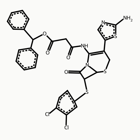 Nc1ncc(C2=C(NC(=O)CC(=O)OC(c3ccccc3)c3ccccc3)N3C(=O)C(Sc4ccc(Cl)c(Cl)c4)C3SC2)s1